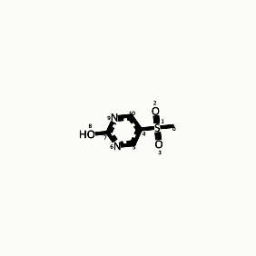 CS(=O)(=O)c1cnc(O)nc1